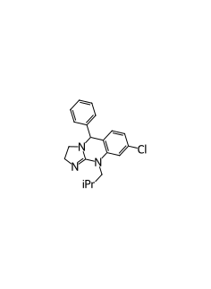 CC(C)CN1C2=NCCN2C(c2ccccc2)c2ccc(Cl)cc21